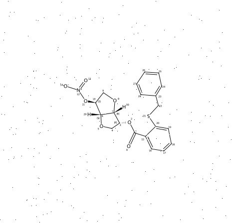 O=C(O[C@@H]1CO[C@H]2[C@@H]1OC[C@@H]2O[N+](=O)[O-])c1ccccc1SCc1ccccc1